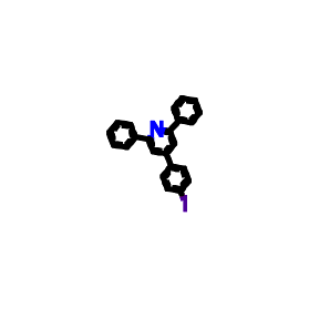 Ic1ccc(-c2cc(-c3ccccc3)nc(-c3ccccc3)c2)cc1